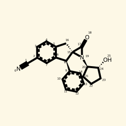 N#Cc1ccc2c(c1)[C@H](c1ccccc1)[C@@]1(C2)C(=O)N1[C@@H]1CCC[C@H]1O